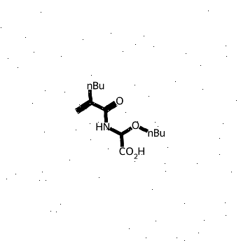 C=C(CCCC)C(=O)NC(OCCCC)C(=O)O